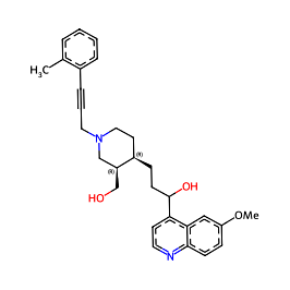 COc1ccc2nccc(C(O)CC[C@@H]3CCN(CC#Cc4ccccc4C)C[C@@H]3CO)c2c1